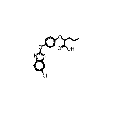 CCCC(Oc1ccc(Oc2nc3ccc(Cl)cc3s2)cc1)C(=O)O